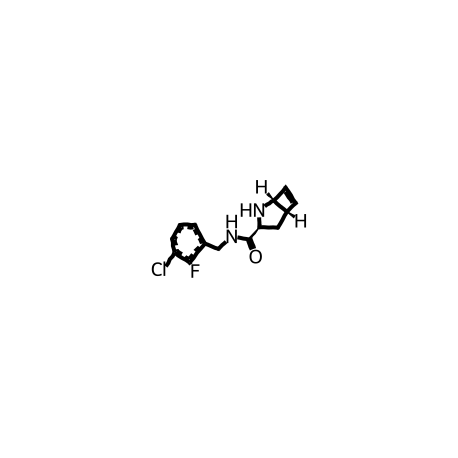 O=C(NCc1cccc(Cl)c1F)[C@@H]1C[C@H]2C=C[C@H]2N1